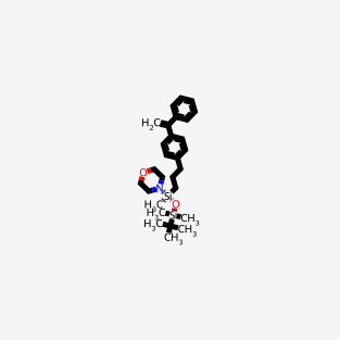 C=C(c1ccccc1)c1ccc(CCC[Si](C)(O[Si](C)(C)C(C)(C)C)N2CCOCC2)cc1